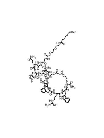 CCCCCCCCCCCCCCCC(=O)NCCOCCOCC(=O)NCC(=O)N[C@@H](CO)C(=O)N[C@@H](CCC(N)=O)C(=O)N[C@@H](Cc1c[nH]cn1)C(=O)N[C@@H](CO)C(=O)N[C@@H](CCCC)C(=O)N[C@H]1CCC(=O)CNCCCC[C@@H](C(N)=O)NC(=O)[C@H](Cc2c[nH]c3ccccc23)NC(=O)[C@H](CCCNC(=N)N)NC(=O)[C@@H](Cc2ccccc2)NC(=O)[C@@H]2C[C@@H](O)CN2C1=O